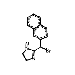 BrC(C1=NCCN1)c1ccc2ccccc2c1